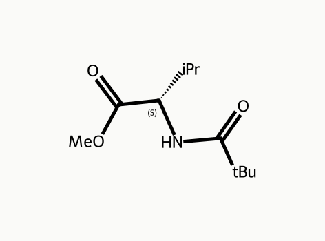 COC(=O)[C@@H](NC(=O)C(C)(C)C)C(C)C